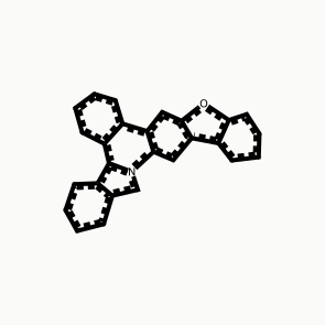 c1ccc2c(c1)cn1c3cc4c(cc3c3ccccc3c21)oc1ccccc14